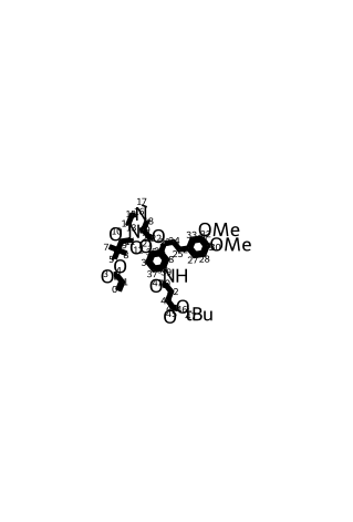 C=CC(=O)OCC(C)(C)C(=O)C(=O)N1CCN(C)CC1C(=O)OC(CCc1ccc(OC)c(OC)c1)c1cccc(NC(=O)CCC(=O)OC(C)(C)C)c1